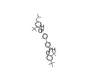 CC(C)Cc1ccc(OPc2ccc(-c3ccc(POc4ccc(C(C)(C)C)cc4C(C)(C)C)cc3)cc2)c(C(C)(C)C)c1